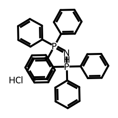 Cl.c1ccc(P(=N[PH](c2ccccc2)(c2ccccc2)c2ccccc2)(c2ccccc2)c2ccccc2)cc1